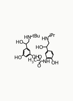 CC(C)(C)NCC(O)c1cc(O)cc(O)c1.CC(C)NCC(O)c1ccc(O)c(NS(C)(=O)=O)c1